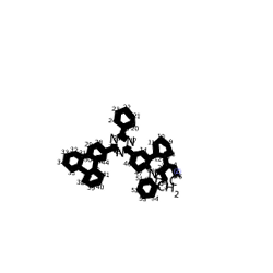 C=CC1=C(/C=C\C)c2ccccc2-c2cc(-c3nc(-c4ccccc4)nc(-c4ccc5c6ccccc6c6ccccc6c5c4)n3)ccc2N1c1ccccc1